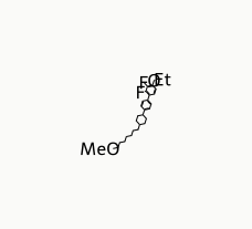 CCOc1ccc(-c2ccc(C3CCC(CCCCCCCOC)CC3)cc2)c(F)c1F